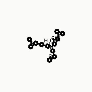 CC1(C)c2cc(N(c3ccc(-c4ccc(-c5ccc6c(c5)c5ccccc5n6-c5ccccc5)cc4)cc3)c3ccc(-c4cccc5c4oc4ccccc45)cc3)ccc2-c2ccc(-n3c4ccccc4c4ccccc43)cc21